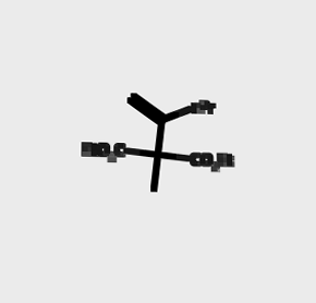 C=C(CCC)C(C)(C(=O)OCC)C(=O)OCC